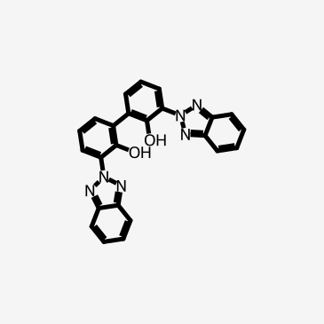 Oc1c(-c2cccc(-n3nc4ccccc4n3)c2O)cccc1-n1nc2ccccc2n1